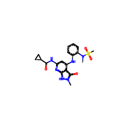 CN(c1ccccc1Nc1cc(NC(=O)C2CC2)nc2[nH]n(C)c(=O)c12)S(C)(=O)=O